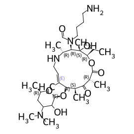 CC[C@H]1OC(=O)[C@H](C)C(=O)[C@@H](C)[C@@H](O[C@@H]2O[C@H](C)CC(N(C)C)C2O)/C(C)=C/CN[C@H](C)[C@@H](N(C=O)CCCCN)[C@]1(C)O